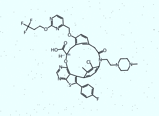 Cc1c2ccc(c1Cl)N(CCN1CCN(C)CC1)C(=O)Cc1ccc(OCc3ccnc(OCCC(F)(F)F)n3)c(c1)C[C@H](C(=O)O)Oc1ncnc3sc(-c4ccc(F)cc4)c-2c13